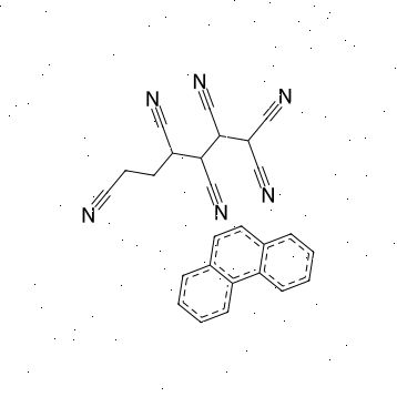 N#CCCC(C#N)C(C#N)C(C#N)C(C#N)C#N.c1ccc2c(c1)ccc1ccccc12